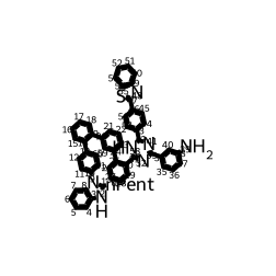 CCCCCC1Nc2ccccc2N1c1ccc(-c2ccccc2-c2cccc(-c3ccccc3C3=NC(c4cccc(N)c4)=NC(c4ccc(-c5nc6ccccc6s5)cc4)N3)c2)cc1